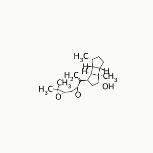 C=C([C@H]1O[C@@H]1[C@@H]1OC1(C)C)[C@@H]1C[C@@H](O)[C@@]2(C)[C@@H]1[C@@H]1[C@H](C)CC[C@@H]12